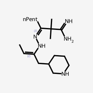 C/C=C(/CC1CCCNC1)N/N=C(/CCCCC)C(C)(C)C(=N)N